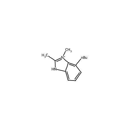 CCCCc1cccc2[nH]c(C)[n+](C)c12